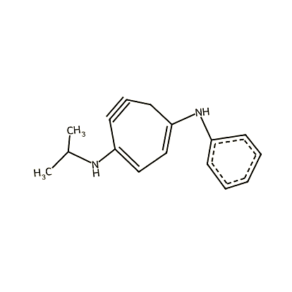 CC(C)NC1=CC=C(Nc2ccccc2)CC#C1